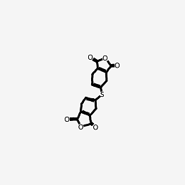 O=C1OC(=O)C2=C1CC=C(SC1=CCC3=C(C1)C(=O)OC3=O)C2